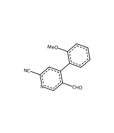 COc1ccccc1-c1cc(C#N)ncc1C=O